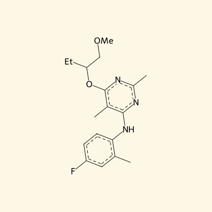 CCC(COC)Oc1nc(C)nc(Nc2ccc(F)cc2C)c1C